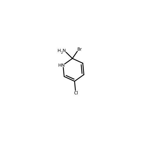 NC1(Br)C=CC(Cl)=CN1